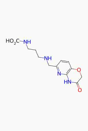 O=C(O)NCCCNCc1ccc2c(n1)NC(=O)CO2